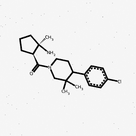 CC1(C)CN(C(=O)[C@H]2CCC[C@@]2(C)N)CCC1c1ccc(Cl)cc1